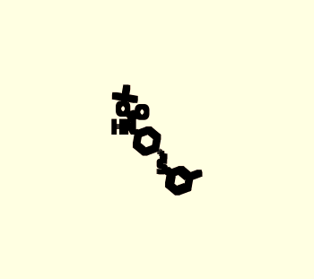 Cc1cccc(SC[C@H]2CC[C@@H](NC(=O)OC(C)(C)C)CC2)c1